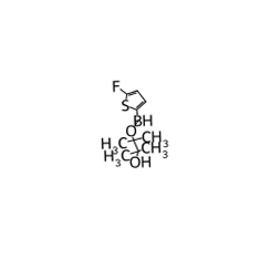 CC(C)(O)C(C)(C)OBc1ccc(F)s1